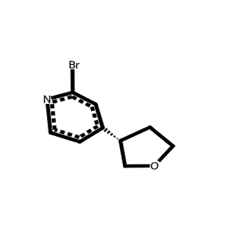 Brc1cc([C@@H]2CCOC2)ccn1